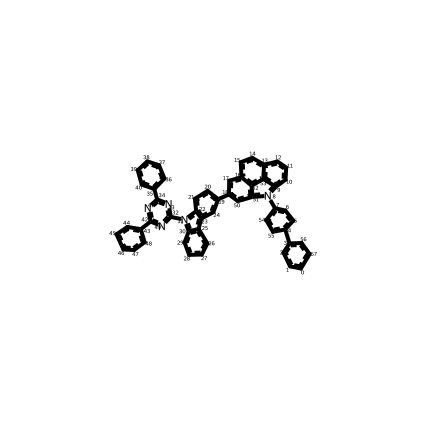 c1ccc(-c2ccc(-n3c4cccc5ccc6cc(-c7ccc8c(c7)c7ccccc7n8-c7nc(-c8ccccc8)nc(-c8ccccc8)n7)cc3c6c54)cc2)cc1